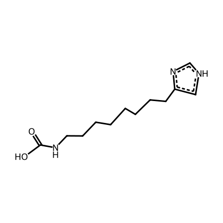 O=C(O)NCCCCCCCCc1c[nH]cn1